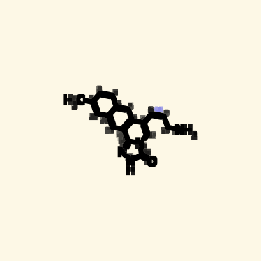 Cc1ccc2cc3c(/C=C\CN)cn4c(=O)[nH]nc4c3cc2c1